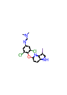 CN(C)C=Nc1cc(Cl)c(Oc2ccc3[nH]cc(I)c3n2)c(Cl)c1